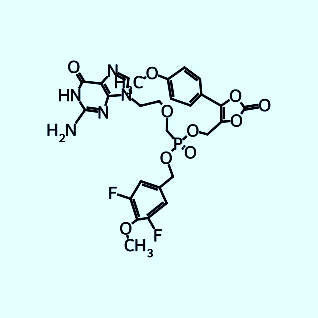 COc1ccc(-c2oc(=O)oc2COP(=O)(COCCn2cnc3c(=O)[nH]c(N)nc32)OCc2cc(F)c(OC)c(F)c2)cc1